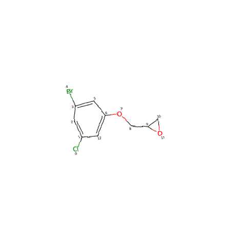 Clc1cc(Br)cc(OCC2CO2)c1